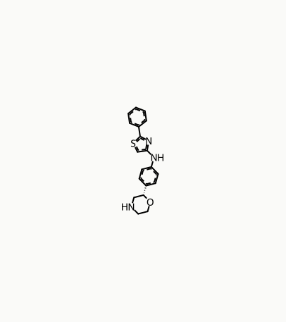 c1ccc(-c2nc(Nc3ccc([C@H]4CNCCO4)cc3)cs2)cc1